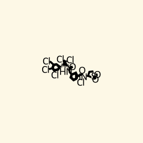 O=C(NC1CCS(=O)(=O)C1)c1cc(NC(=O)[C@H]2[C@H](c3cc(Cl)c(Cl)c(Cl)c3)C2(Cl)Cl)ccc1Cl